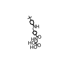 CC(C)(C)c1ccc(NCc2ccc(C(=O)NC[C@@H](O)C(=O)O)cc2)cc1